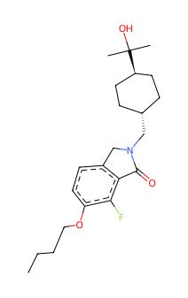 CCCCOc1ccc2c(c1F)C(=O)N(C[C@H]1CC[C@H](C(C)(C)O)CC1)C2